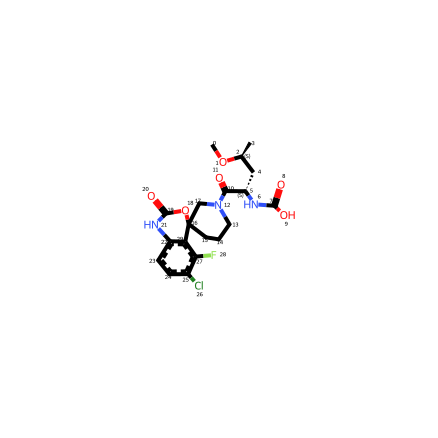 CO[C@@H](C)C[C@H](NC(=O)O)C(=O)N1CCCC2(C1)OC(=O)Nc1ccc(Cl)c(F)c12